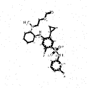 CN(CCOC=O)[C@H]1CCCC[C@@H]1Nc1cc(F)c(S(=O)(=O)Nc2cccc(F)n2)cc1C1CC1